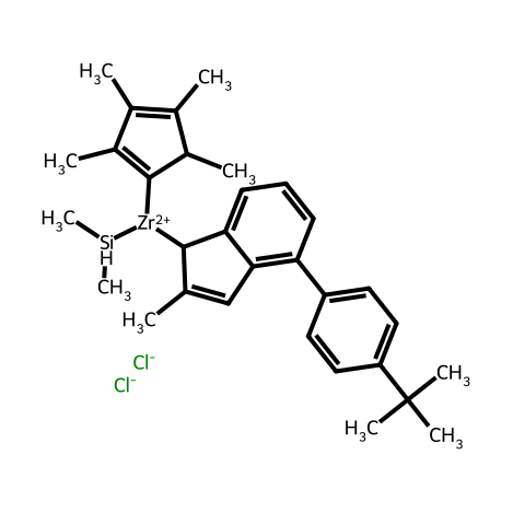 CC1=Cc2c(-c3ccc(C(C)(C)C)cc3)cccc2[CH]1[Zr+2]([C]1=C(C)C(C)=C(C)C1C)[SiH](C)C.[Cl-].[Cl-]